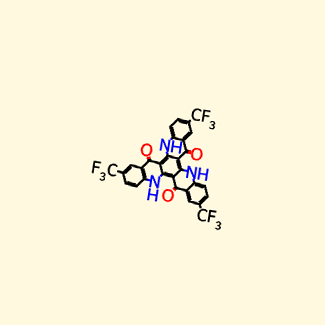 O=c1c2cc(C(F)(F)F)ccc2[nH]c2c1c1[nH]c3ccc(C(F)(F)F)cc3c(=O)c1c1[nH]c3ccc(C(F)(F)F)cc3c(=O)c21